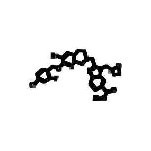 COC(=O)c1ccc2nc(CN3CCc4cc(Br)c(OCc5ccc(Cl)cc5F)nc4C3)n(C[C@@H]3CCO3)c2c1